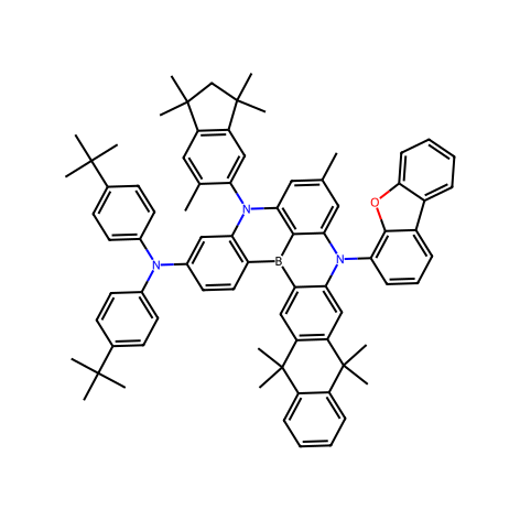 Cc1cc2c3c(c1)N(c1cccc4c1oc1ccccc14)c1cc4c(cc1B3c1ccc(N(c3ccc(C(C)(C)C)cc3)c3ccc(C(C)(C)C)cc3)cc1N2c1cc2c(cc1C)C(C)(C)CC2(C)C)C(C)(C)c1ccccc1C4(C)C